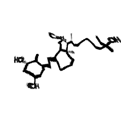 C=C1C(=CC=C2CCC[C@@]3(C)C2CC[C@@H]3[C@H](C)CCCC(C)(C)O)C[C@@H](O)C[C@@H]1O.[CaH2]